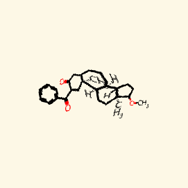 COC1CC[C@H]2[C@@H]3CCC4CC(=O)C(C(=O)c5ccccc5)C[C@]4(C)[C@@H]3CC[C@]12C